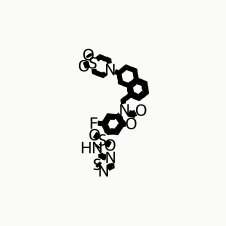 O=c1oc2cc(S(=O)(=O)Nc3ncns3)c(F)cc2n1Cc1cccc2c1CC(N1CCS(=O)(=O)CC1)CC2